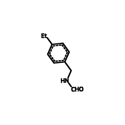 CCc1ccc(CNC=O)cc1